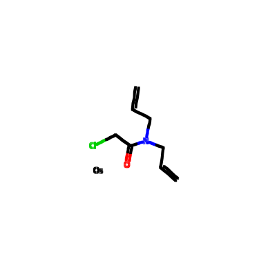 C=CCN(CC=C)C(=O)CCl.[Os]